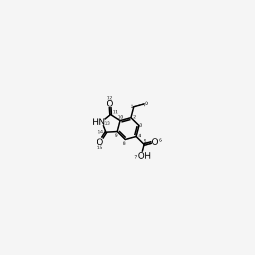 [CH2]Cc1cc(C(=O)O)cc2c1C(=O)NC2=O